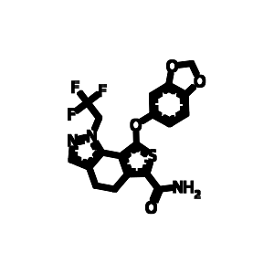 NC(=O)c1sc(Oc2ccc3c(c2)OCO3)c2c1CCc1cnn(CC(F)(F)F)c1-2